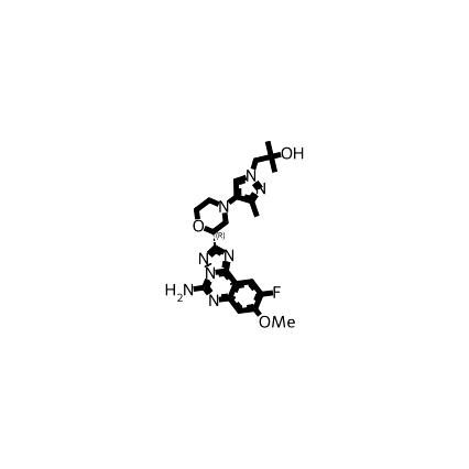 COc1cc2nc(N)n3nc([C@H]4CN(c5cn(CC(C)(C)O)nc5C)CCO4)nc3c2cc1F